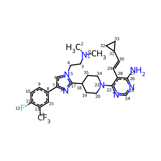 CN(C)CCn1cc(-c2ccc(F)c(C(F)(F)F)c2)nc1C1CCN(c2ncnc(N)c2C=CC2CC2)CC1